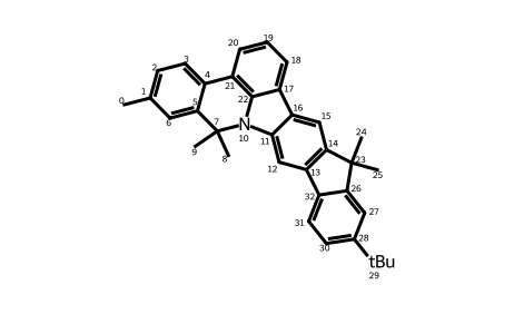 Cc1ccc2c(c1)C(C)(C)n1c3cc4c(cc3c3cccc-2c31)C(C)(C)c1cc(C(C)(C)C)ccc1-4